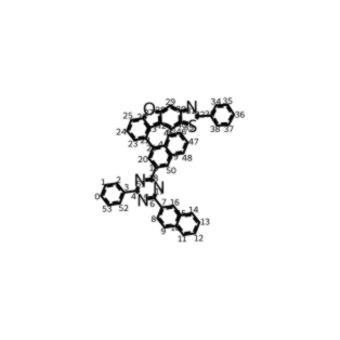 c1ccc(-c2nc(-c3ccc4ccccc4c3)nc(-c3cc(-c4cccc5oc6cc7nc(-c8ccccc8)sc7cc6c45)c4ccccc4c3)n2)cc1